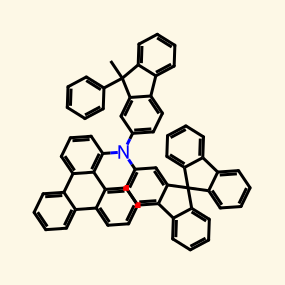 CC1(c2ccccc2)c2ccccc2-c2ccc(N(c3ccc4c(c3)C3(c5ccccc5-c5ccccc53)c3ccccc3-4)c3cccc4c5ccccc5c5ccccc5c34)cc21